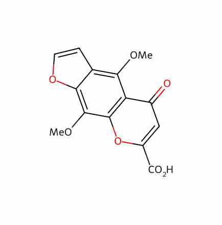 COc1c2occc2c(OC)c2c(=O)cc(C(=O)O)oc12